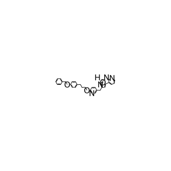 Nc1ncccc1-c1cc(Cc2ccc(OCCCc3ccc(OCc4ccccc4)cc3)nc2)no1